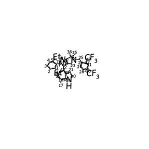 CCc1cccc(CC)c1-n1nc2c(c1-c1ccc(C)c3[nH]ccc13)CN(Cc1ccc(C(F)(F)F)cc1C(F)(F)F)C2(C)C